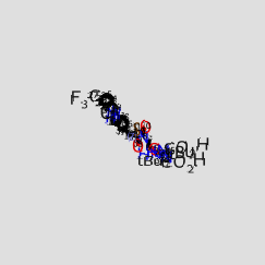 CC(C)(C)N(C(=O)O)C(NOCCN1C(=O)S/C(=C\c2ccc3c(cnn3Cc3ccc(C(F)(F)F)cc3C(F)(F)F)c2)C1=O)(NC(=O)O)C(C)(C)C